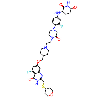 O=C1CCC(Nc2ccc(N3CCN(CCN4CCC(COc5cc(F)c6c(=O)[nH]c(CSC7CCOCC7)nc6c5)CC4)C(=O)C3)c(F)c2)C(=O)N1